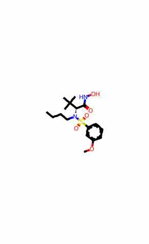 CCCCN([C@@H](C(=O)NO)C(C)(C)C)S(=O)(=O)c1cccc(OC)c1